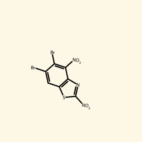 O=[N+]([O-])c1nc2c([N+](=O)[O-])c(Br)c(Br)cc2s1